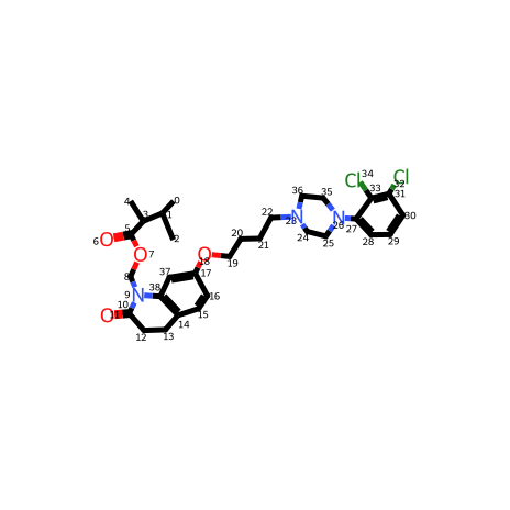 CC(C)C(C)C(=O)OCN1C(=O)CCc2ccc(OCCCCN3CCN(c4cccc(Cl)c4Cl)CC3)cc21